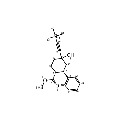 CC(C)(C)OC(=O)[C@@H]1CCC(O)(C#C[Si](C)(C)C)C[C@H]1c1ccccc1